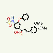 COc1ccc(C=CC(=O)c2cc(Oc3ccccc3)c(NS(C)(=O)=O)cc2O)cc1OC